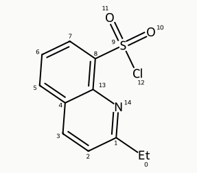 CCc1ccc2cccc(S(=O)(=O)Cl)c2n1